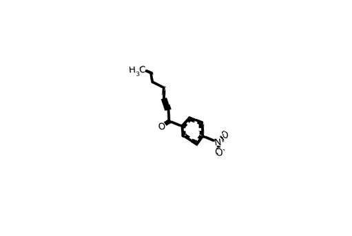 CCCCC#CC(=O)c1ccc([N+](=O)[O-])cc1